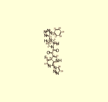 O=C(C(=O)N1C[C@H]2C[C@@H]1CN2c1nnnn1-c1ccccc1)c1c[nH]c2c(-n3ccnn3)ncc(F)c12